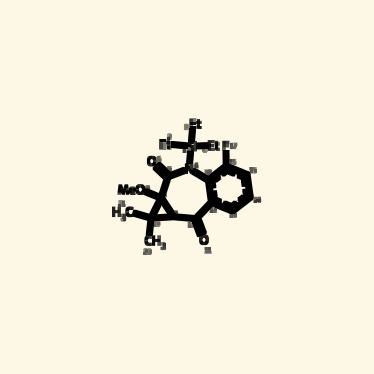 CC[Si](CC)(CC)N1C(=O)C2(OC)C(C(=O)c3cccc(F)c31)C2(C)C